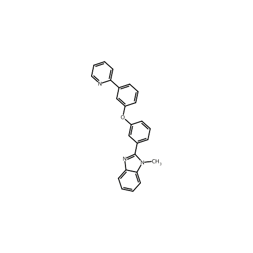 Cn1c(-c2cccc(Oc3cccc(-c4ccccn4)c3)c2)nc2ccccc21